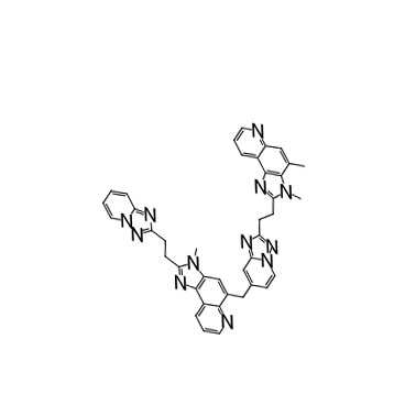 Cc1cc2ncccc2c2nc(CCc3nc4cc(Cc5cc6c(nc(CCc7nc8ccccn8n7)n6C)c6cccnc56)ccn4n3)n(C)c12